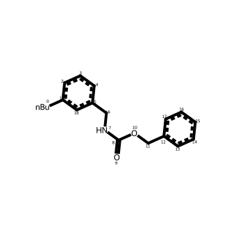 CCCCc1cccc([CH]NC(=O)OCc2ccccc2)c1